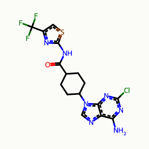 Nc1nc(Cl)nc2c1ncn2C1CCC(C(=O)Nc2nc(C(F)(F)F)cs2)CC1